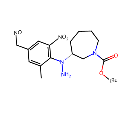 Cc1cc(CN=O)cc([N+](=O)[O-])c1N(N)[C@@H]1CCCCN(C(=O)OC(C)(C)C)C1